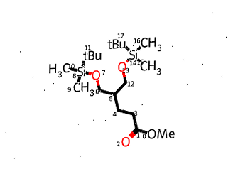 COC(=O)CCC(CO[Si](C)(C)C(C)(C)C)CO[Si](C)(C)C(C)(C)C